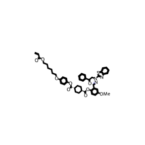 C=CC(=O)OCCCCCCOc1ccc(OC(=O)[C@H]2CC[C@H](C(=O)Oc3ccc(OC)cc3/C=N/N(CC(=O)c3ccccc3)c3nc4ccccc4s3)CC2)cc1